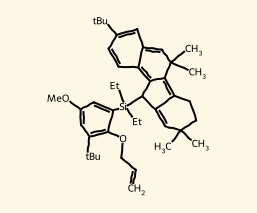 C=CCOc1c(C(C)(C)C)cc(OC)cc1[Si](CC)(CC)C1C2=CC(C)(C)CCC2=C2C1=c1ccc(C(C)(C)C)cc1=CC2(C)C